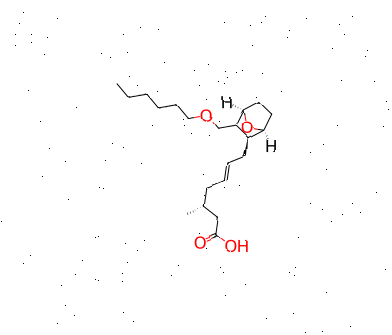 CCCCCCOCC1[C@H]2CC[C@H](O2)[C@H]1CC=CC[C@@H](C)CC(=O)O